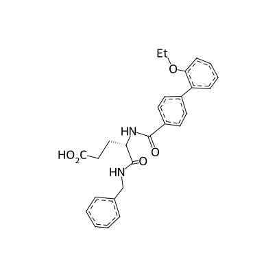 CCOc1ccccc1-c1ccc(C(=O)N[C@@H](CCC(=O)O)C(=O)NCc2ccccc2)cc1